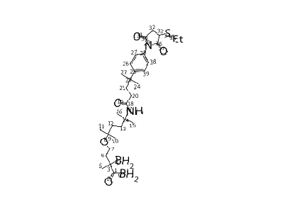 BC(=O)C(B)(C)CCOC(C)(C)CCC(C)(C)NC(=O)CCC(C)(C)c1ccc(N2C(=O)CC(SCC)C2=O)cc1